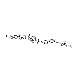 C=CC(=O)OCCCCOc1ccc(-c2ccc(/C=C/C(=O)O[C@H]3CO[C@H]4[C@@H]3OC[C@H]4OC(=O)c3ccc(OC(=O)c4ccc(OC)cc4)cc3)cc2)cc1